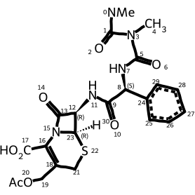 CNC(=O)N(C)C(=O)N[C@H](C(=O)N[C@@H]1C(=O)N2C(C(=O)O)=C(COC(C)=O)CS[C@H]12)c1ccccc1